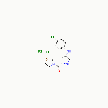 Cl.Cl.O=C([C@@H]1C[C@H](Nc2ccc(Cl)cc2)CN1)N1CCSC1